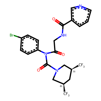 O=C(NCC(=O)N(C(=O)N1C[C@H](C(F)(F)F)C[C@H](C(F)(F)F)C1)c1ccc(Br)cc1)c1cccnc1